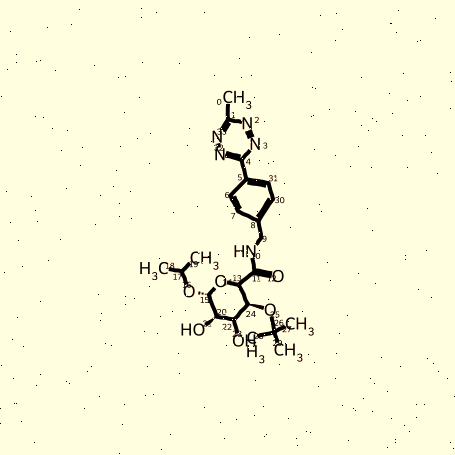 Cc1nnc(-c2ccc(CNC(=O)C3O[C@@H](OC(C)C)[C@H](O)C(O)[C@@H]3OC(C)(C)C)cc2)nn1